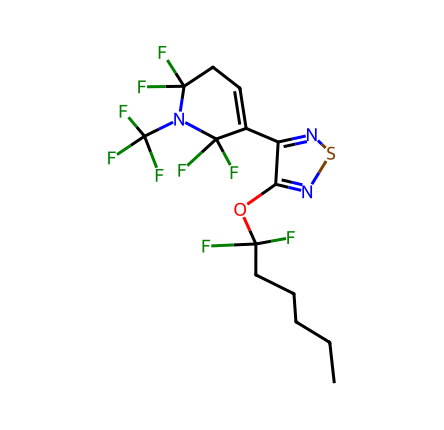 CCCCCC(F)(F)Oc1nsnc1C1=CCC(F)(F)N(C(F)(F)F)C1(F)F